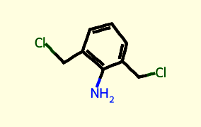 Nc1c(CCl)cccc1CCl